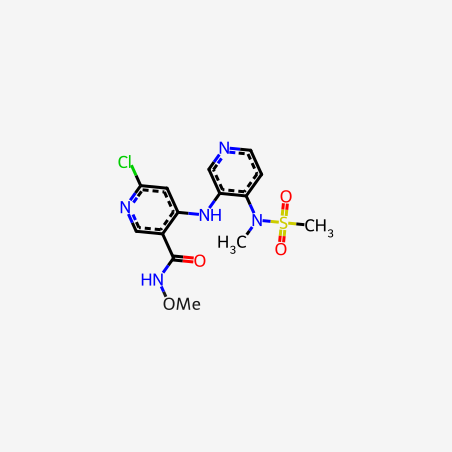 CONC(=O)c1cnc(Cl)cc1Nc1cnccc1N(C)S(C)(=O)=O